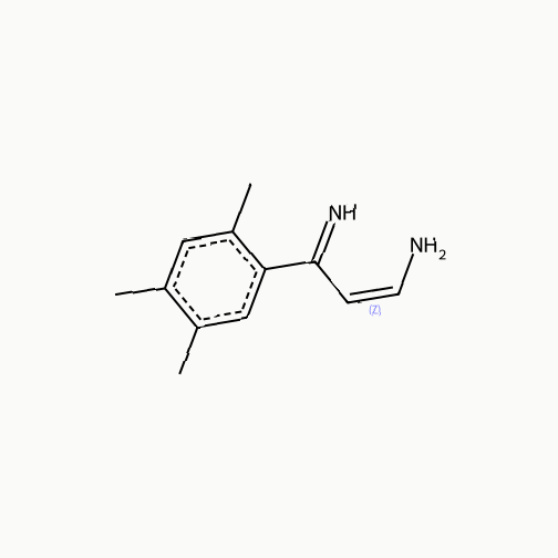 Cc1cc(C)c(C(=N)/C=C\N)cc1C